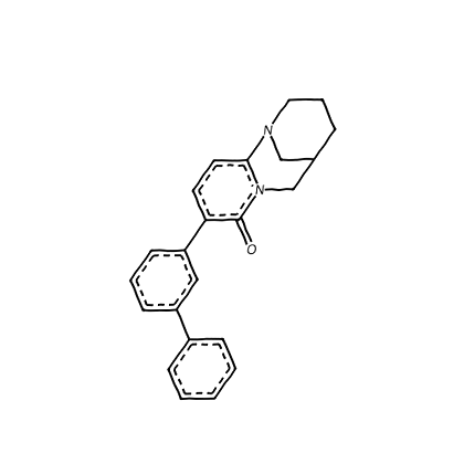 O=c1c(-c2cccc(-c3ccccc3)c2)ccc2n1CC1CCCN2C1